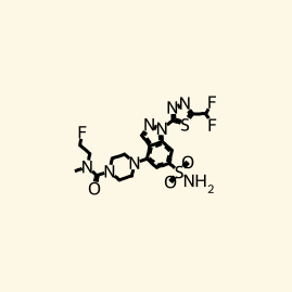 CN(CCF)C(=O)N1CCN(c2cc(S(N)(=O)=O)cc3c2cnn3-c2nnc(C(F)F)s2)CC1